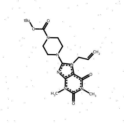 C=CCn1c(N2CCN(C(=O)OC(C)(C)C)CC2)nc2c1c(=O)n(C)c(=O)n2C